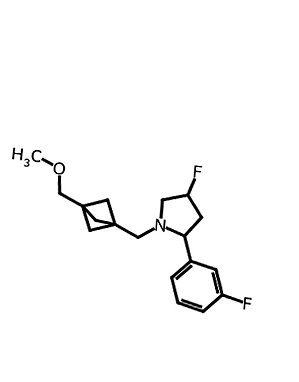 COCC12CC(CN3CC(F)CC3c3cccc(F)c3)(C1)C2